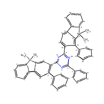 C[Si]1(C)c2ccccc2-c2cc(-c3ccccc3)c(-c3nc(-c4ccccc4)nc(-c4ccc5c(c4-c4ccccc4)[Si](C)(C)c4ccccc4-5)n3)cc21